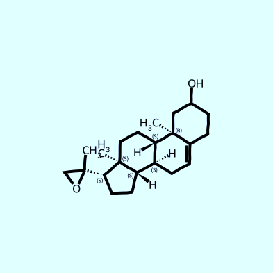 CC1([C@H]2CC[C@H]3[C@@H]4CC=C5CCC(O)C[C@]5(C)[C@H]4CC[C@]23C)CO1